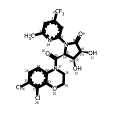 Cc1cc(C(F)(F)F)cc(N2C(=O)[C@@H](O)[C@@H](O)[C@H]2C(=O)N2CCOc3c2ccc(Cl)c3Cl)n1